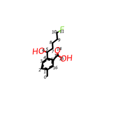 Cc1ccc(C(O)CCCCF)c(C(=O)O)c1